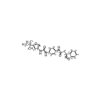 CC(C)(C)c1cc(NC(=O)Nc2ccc(NC(=O)Cc3noc4ccccc34)cc2)no1